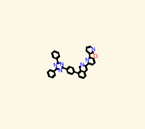 c1ccc(-c2nc(-c3ccccc3)nc(-c3ccc(-c4cccc5cc(-c6ccc7oc8ncccc8c7n6)ncc45)cc3)n2)cc1